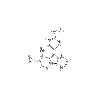 COc1ncc(-c2c3n(c4nccnc24)CCN(C2CC2)C3O)cn1